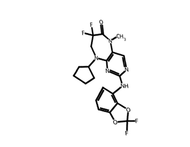 CN1C(=O)C(F)(F)CN(C2CCCC2)c2nc(Nc3cccc4c3OC(F)(F)O4)ncc21